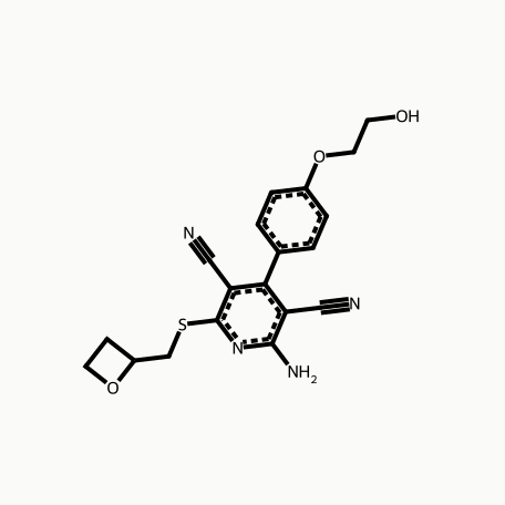 N#Cc1c(N)nc(SCC2CCO2)c(C#N)c1-c1ccc(OCCO)cc1